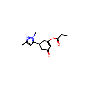 CCC(=O)OC1=CC(=O)CC(c2cc(C)nn2C)C1